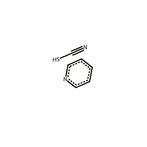 N#CS.c1ccncc1